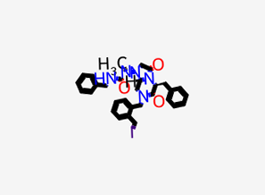 CN(C(=O)NCc1ccccc1)N1CC(=O)N2[C@@H](Cc3ccccc3)C(=O)N(Cc3ccccc3CI)C[C@@H]21